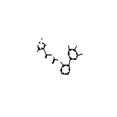 Cn1cc(C(=O)NC(=O)Nc2ccccc2-c2cc(F)c(F)c(F)c2)c(C(F)(F)F)n1